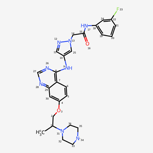 CC(COc1ccc2c(Nc3cnn(CC(=O)Nc4cccc(F)c4)c3)ncnc2c1)N1CC[N]CC1